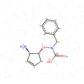 N[C@@H]1C=CC[C@@H]1ON(Cc1ccccc1)C(=O)O